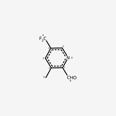 Cc1cc(C(F)(F)F)cnc1C=O